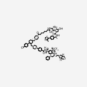 Cc1ncsc1-c1ccc([C@H](C)NC(=O)[C@@H]2C[C@@H](O)CN2C(=O)[C@@H](NC(=O)CCCCCCC(=O)N2CCN(C[C@]3(C)CCC(c4ccc(Cl)cc4)=C(CN4CCN(c5ccc(C(=O)NS(=O)(=O)c6ccc(N[C@H](CCN7C[C@H]8COC[C@H]8C7)CSc7ccccc7)c(S(=O)(=O)C(F)(F)F)c6)cc5)CC4)C3)CC2)C(C)(C)C)cc1